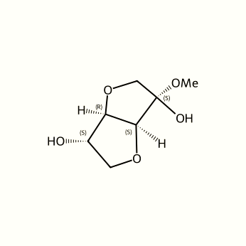 CO[C@@]1(O)CO[C@@H]2[C@@H](O)CO[C@@H]21